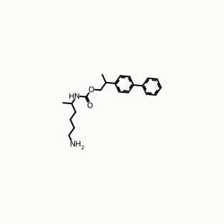 CC(CCCCN)NC(=O)OCC(C)c1ccc(-c2ccccc2)cc1